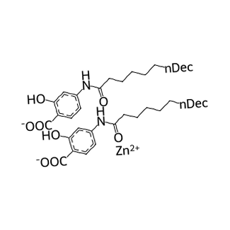 CCCCCCCCCCCCCCCC(=O)Nc1ccc(C(=O)[O-])c(O)c1.CCCCCCCCCCCCCCCC(=O)Nc1ccc(C(=O)[O-])c(O)c1.[Zn+2]